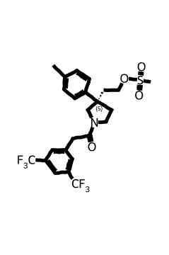 Cc1ccc([C@@]2(CCOS(C)(=O)=O)CCN(C(=O)Cc3cc(C(F)(F)F)cc(C(F)(F)F)c3)C2)cc1